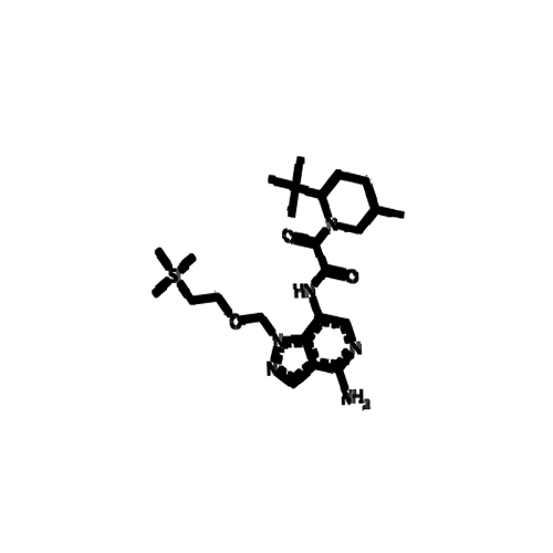 CC1CCC(C(C)(C)C)N(C(=O)C(=O)Nc2cnc(N)c3cnn(COCC[Si](C)(C)C)c23)C1